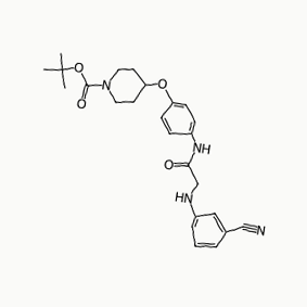 CC(C)(C)OC(=O)N1CCC(Oc2ccc(NC(=O)CNc3cccc(C#N)c3)cc2)CC1